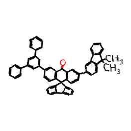 CC1(C)c2ccccc2-c2cc(-c3ccc4c(c3)C(=O)c3cc(-c5cc(-c6ccccc6)cc(-c6ccccc6)c5)ccc3C43c4ccccc4-c4ccccc43)ccc21